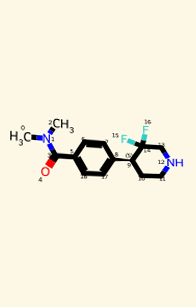 CN(C)C(=O)c1ccc([C@@H]2CCNCC2(F)F)cc1